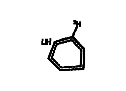 [3H]c1ccccc1.[LiH]